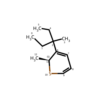 CCC(C)(CC)C1=CC=CS[C@H]1C